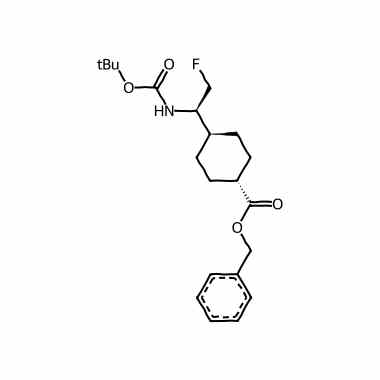 CC(C)(C)OC(=O)N[C@@H](CF)[C@H]1CC[C@H](C(=O)OCc2ccccc2)CC1